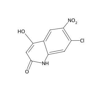 O=c1cc(O)c2cc([N+](=O)[O-])c(Cl)cc2[nH]1